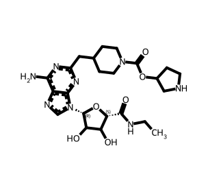 CCNC(=O)[C@H]1O[C@@H](n2cnc3c(N)nc(CC4CCN(C(=O)OC5CCNC5)CC4)nc32)C(O)C1O